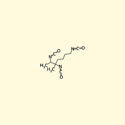 CC(N=C=O)C(C)(CCCCN=C=O)N=C=O